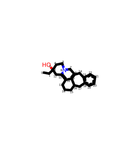 CCC1(O)CCN2CC3=C4C(=C2C1)CCCC4Cc1ccccc1C3